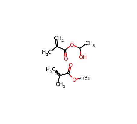 C=C(C)C(=O)OC(C)O.C=C(C)C(=O)OCCCC